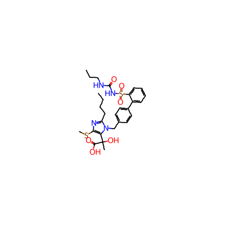 CCCCc1nc(SC)c(C(C)(O)C(=O)O)n1Cc1ccc(-c2ccccc2S(=O)(=O)NC(=O)NCCC)cc1